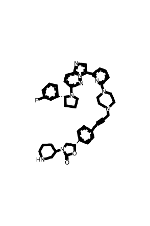 O=C1O[C@@H](c2ccc(C#CCN3CCN(c4cccc(-c5cnc6ccc(N7CCC[C@@H]7c7cccc(F)c7)nn56)n4)CC3)cc2)CN1C1CCCNC1